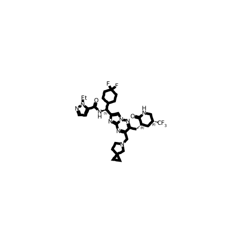 CCn1nccc1C(=O)N[C@H](c1cn2nc(C[C@H]3C[C@@H](C(F)(F)F)CNC3=O)c(CN3CCC4(CC4)C3)nc2n1)C1CCC(F)(F)CC1